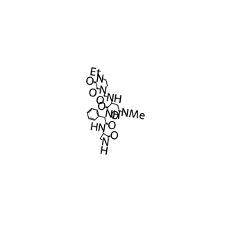 CCN1CCN(C(=O)NC(CC(=O)NC)C(=O)NC(C(=O)NC2CNC2=O)c2ccccc2)C(=O)C1=O